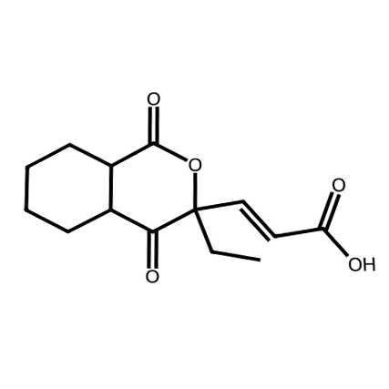 CCC1(C=CC(=O)O)OC(=O)C2CCCCC2C1=O